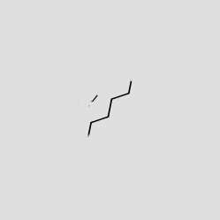 CCCCCC.[SiH3]Cl